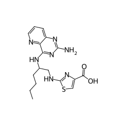 CCCCC(CNc1nc(C(=O)O)cs1)Nc1nc(N)nc2cccnc12